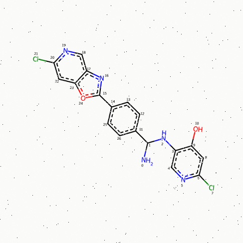 NC(Nc1cnc(Cl)cc1O)c1ccc(-c2nc3cnc(Cl)cc3o2)cc1